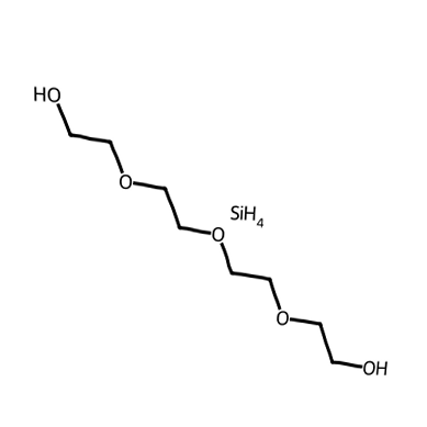 OCCOCCOCCOCCO.[SiH4]